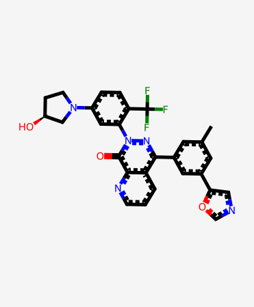 Cc1cc(-c2cnco2)cc(-c2nn(-c3cc(N4CC[C@H](O)C4)ccc3C(F)(F)F)c(=O)c3ncccc23)c1